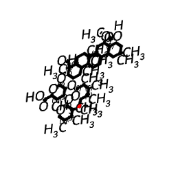 CCC1O[C@@H](OC2[C@H](O[C@H]3CCC4(C)C5CC=C6C7CC(C)(C)CC[C@]7(C(=O)O)C(OC)C[C@@]6(C)[C@@]5(C)CC[C@H]4[C@@]3(C)C=O)OC(C(=O)O)[C@@H](C)[C@@H]2O[C@@H]2OC[C@@H](C)[C@H](C)C2C)C(C)[C@@H](C)[C@H]1C